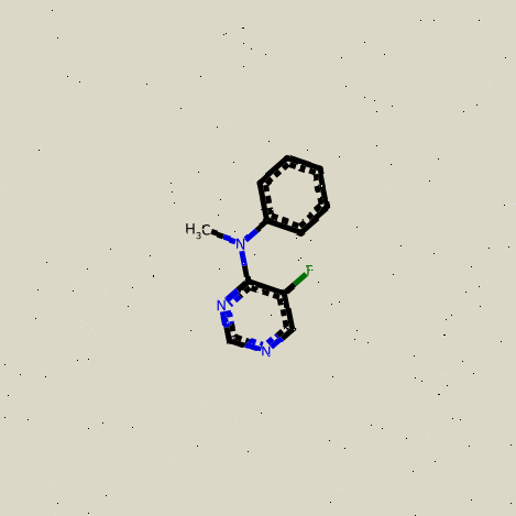 CN(c1ccccc1)c1ncncc1F